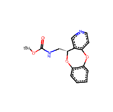 CC(C)(C)OC(=O)NC[C@H]1Oc2ccccc2Oc2ccncc21